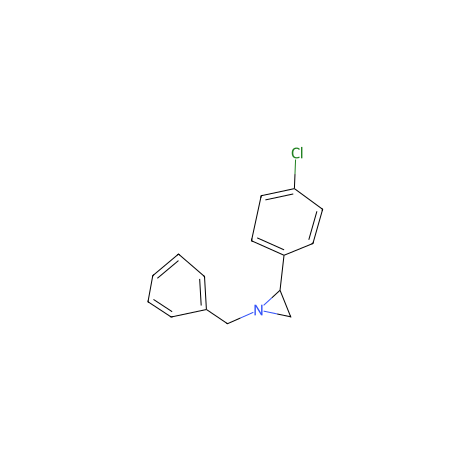 Clc1ccc(C2CN2Cc2ccccc2)cc1